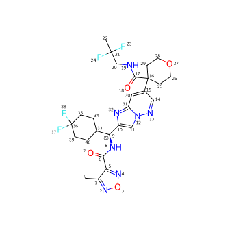 Cc1nonc1C(=O)N[C@H](c1cn2ncc(C3(C(=O)NCC(C)(F)F)CCOCC3)cc2n1)C1CCC(F)(F)CC1